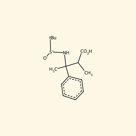 CC(C(=O)O)C(C)(N[S+]([O-])C(C)(C)C)c1ccccc1